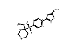 CCCCCCCCc1nc(-c2ccc(S(=O)(=O)C3(CN)CCNCC3)cc2)no1